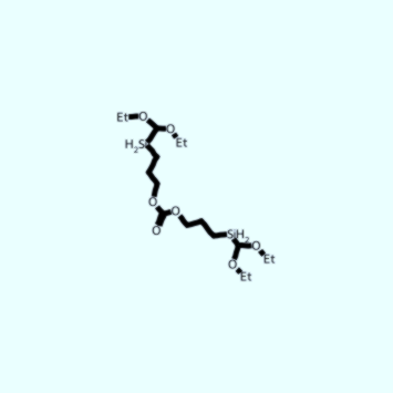 CCOC(OCC)[SiH2]CCCOC(=O)OCCC[SiH2]C(OCC)OCC